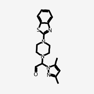 Cc1cc(C)n(C(C=O)N2CCN(c3nc4ccccc4s3)CC2)n1